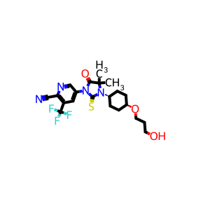 CC1(C)C(=O)N(c2cnc(C#N)c(C(F)(F)F)c2)C(=S)N1[C@H]1CC[C@H](OCCCO)CC1